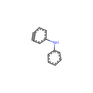 c1ccc(Nc2ccccc2)cc#1